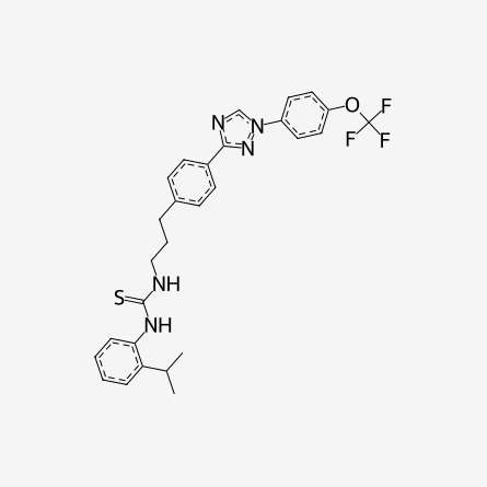 CC(C)c1ccccc1NC(=S)NCCCc1ccc(-c2ncn(-c3ccc(OC(F)(F)F)cc3)n2)cc1